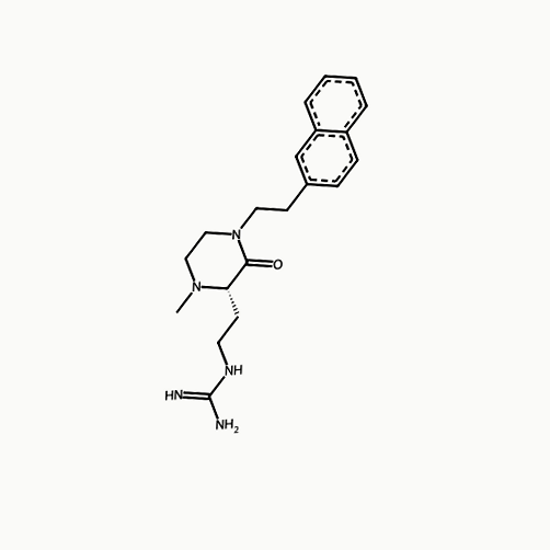 CN1CCN(CCc2ccc3ccccc3c2)C(=O)[C@@H]1CCNC(=N)N